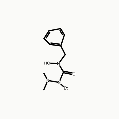 CCN(C(=O)N(O)Cc1ccccc1)N(C)C